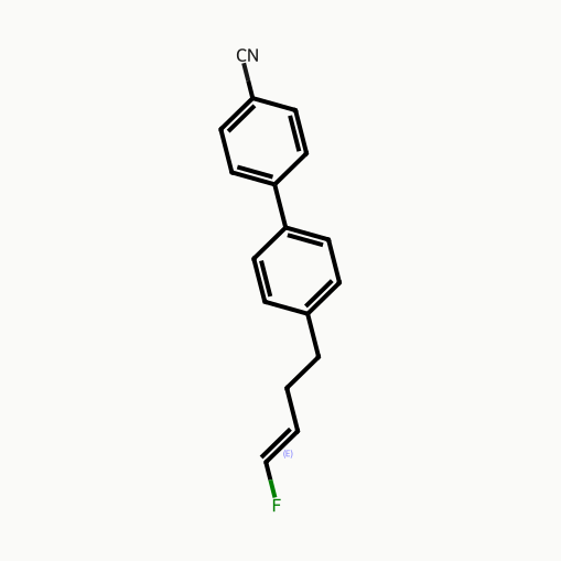 N#Cc1ccc(-c2ccc(CC/C=C/F)cc2)cc1